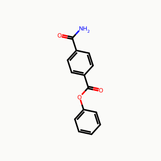 NC(=O)c1ccc(C(=O)Oc2ccccc2)cc1